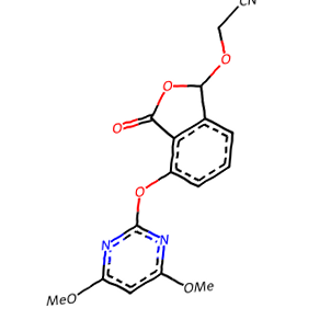 COc1cc(OC)nc(Oc2cccc3c2C(=O)OC3OCC#N)n1